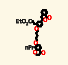 CCCc1c(OCCCCCOc2ccc(-c3cc4ccccc4c(=O)o3)cc2CCC(=O)OCC)ccc2c1OCCC2=O